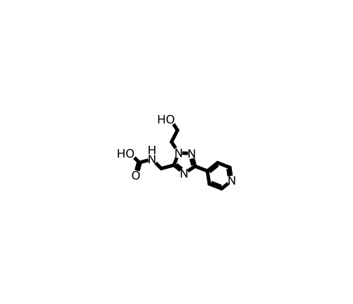 O=C(O)NCc1nc(-c2ccncc2)nn1CCO